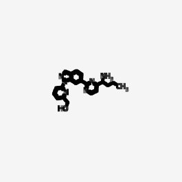 CCCC(N)c1ccnc(-c2ccc3cnn(-c4cccc(CO)n4)c3c2)n1